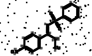 CC(C)(C)NS(=NS(=O)(=O)c1ccccc1)c1ccc([N+](=O)[O-])cc1